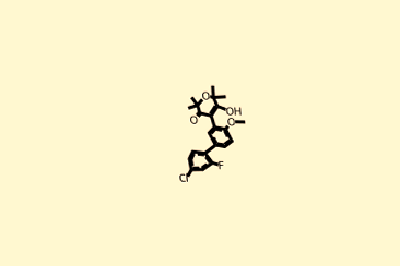 COc1ccc(-c2ccc(Cl)cc2F)cc1C1=C(O)C(C)(C)OC(C)(C)C1=O